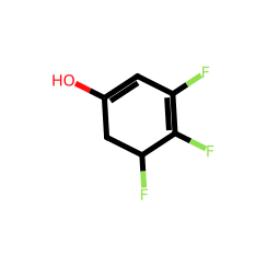 OC1=CC(F)=C(F)C(F)C1